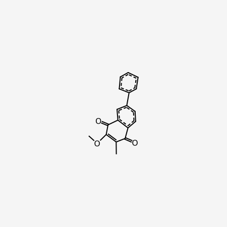 COC1=C(C)C(=O)c2ccc(-c3ccccc3)cc2C1=O